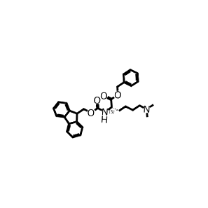 CN(C)CCCC[C@H](NC(=O)OCC1c2ccccc2-c2ccccc21)C(=O)OCc1ccccc1